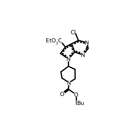 CCOC(=O)c1cn(C2CCN(C(=O)OC(C)(C)C)CC2)c2ncnc(Cl)c12